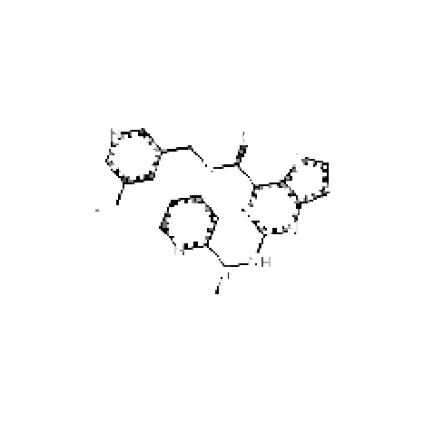 C[C@H](Nc1nc(C(=O)NCc2cncc(C(F)(F)F)c2)c2sccc2n1)c1ccccn1